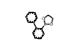 c1ccc(-c2ccccc2B2OCCO2)cc1